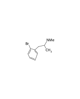 CNC(C)Cc1ccccc1Br